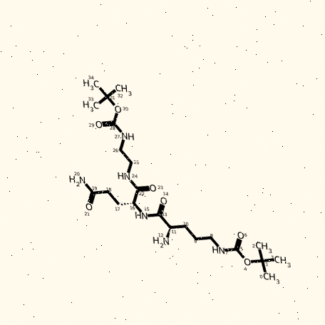 CC(C)(C)OC(=O)NCCC[C@@H](N)C(=O)N[C@H](CCC(N)=O)C(=O)NCCNC(=O)OC(C)(C)C